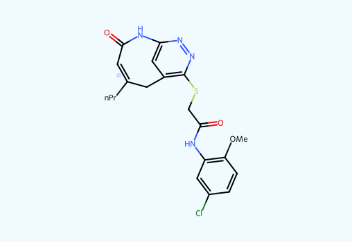 CCC/C1=C/C(=O)Nc2cc(c(SCC(=O)Nc3cc(Cl)ccc3OC)nn2)C1